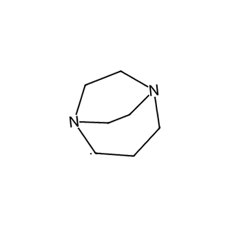 [CH]1CCN2CCN1CC2